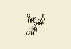 CC(=O)OC(C)C(=O)Nc1cc(C(=O)N[C@H](C)c2ccc(F)cc2)cc(-c2cnc(-c3cc4ccccc4cn3)[nH]2)c1